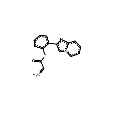 C=CC(=O)Oc1ccccc1-c1cn2ccccc2n1